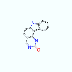 O=C1N=Cc2ccc3c(c2=N1)=c1ccccc1=N3